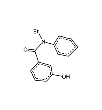 CCN(C(=O)c1cccc(O)c1)c1ccccc1